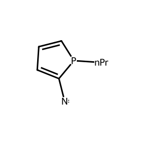 CCCp1cccc1[N]